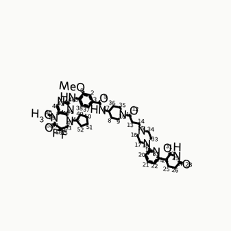 COc1cc(C(=O)NC2CCN(C(=O)CCN3CCN(c4cccc(C5CCC(=O)NC5=O)n4)CC3)CC2)ccc1Nc1ncc2c(n1)N(C1CCCC1)CC(F)(F)C(=O)N2C